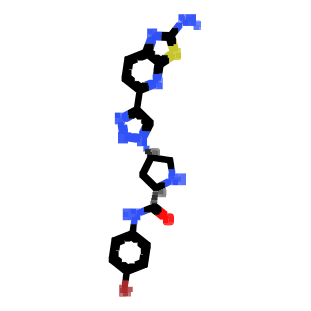 Nc1nc2ccc(-c3cn([C@@H]4CN[C@H](C(=O)Nc5ccc(Br)cc5)C4)nn3)nc2s1